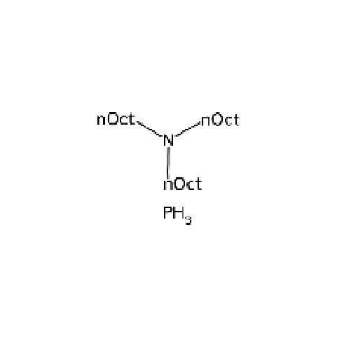 CCCCCCCCN(CCCCCCCC)CCCCCCCC.P